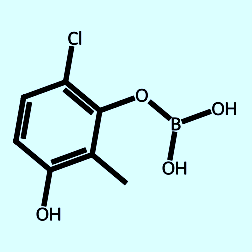 Cc1c(O)ccc(Cl)c1OB(O)O